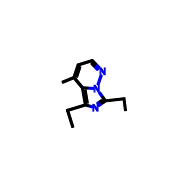 CCc1nc(CC)n2nccc(C)c12